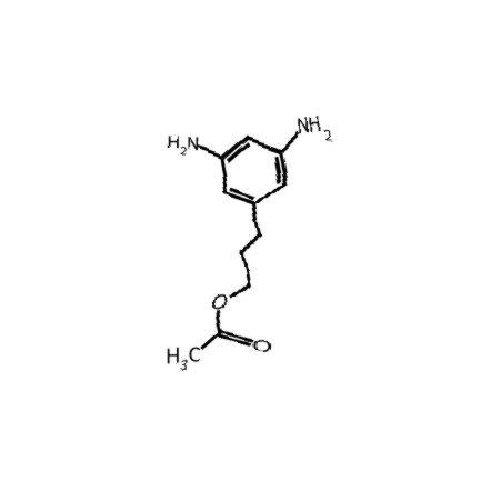 CC(=O)OCCCc1cc(N)cc(N)c1